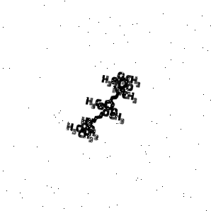 COc1cc(C=Cc2nc3c(c(=O)n(C)c(=O)n3C)n2C)cc(OC)c1OC=CCCNC(=O)OC(C)(C)C